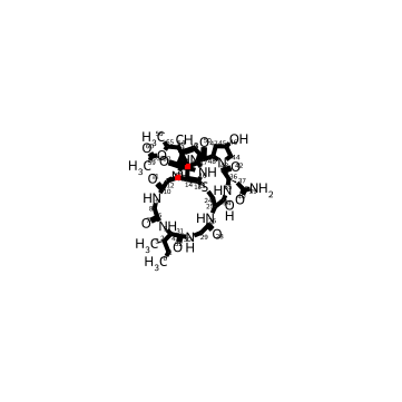 CC[C@H](C)C1NC(=O)CNC(=O)C2Cc3c([nH]c4ccccc34)SCC(NC(=O)CNC1=O)C(O)N[C@@H](CC(N)=O)C(=O)N1CC(O)CC1C(=O)N[C@@H]([C@@H](C)C(C)OC(C)=O)C(=O)N2